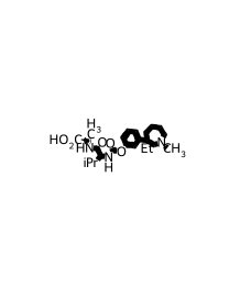 CCC1(c2cccc(OC(=O)NC(C(=O)N[C@@H](C)C(=O)O)C(C)C)c2)CCCCN(C)C1